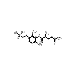 Cc1ncc(COP(=O)(O)O)c(C=O)c1OC(=O)[C@@H](N)CCC(N)=O